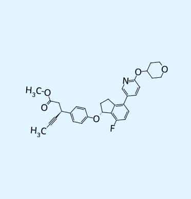 CC#C[C@@H](CC(=O)OC)c1ccc(O[C@@H]2CCc3c(-c4ccc(OC5CCOCC5)nc4)ccc(F)c32)cc1